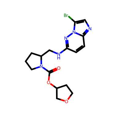 O=C(OC1CCOC1)N1CCCC1CNc1ccc2ncc(Br)n2n1